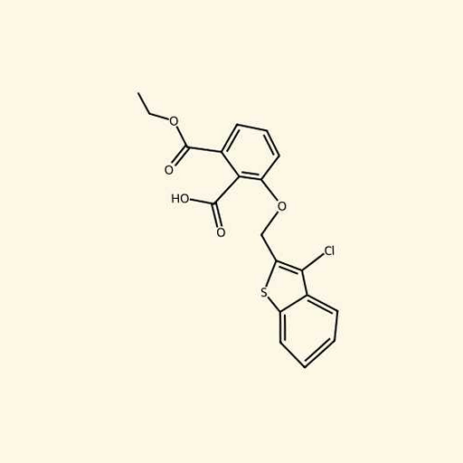 CCOC(=O)c1cccc(OCc2sc3ccccc3c2Cl)c1C(=O)O